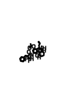 C=CC[N+]1(C)CC[C@]23c4c5c(OC(C)=O)cc(NC(=O)C(=Cc6ccccc6)C(F)(F)F)c4O[C@H]2CCC[C@H]3[C@H]1C5